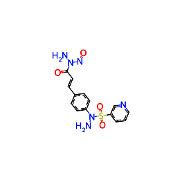 NN(N=O)C(=O)/C=C/c1ccc(N(N)S(=O)(=O)c2cccnc2)cc1